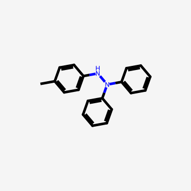 Cc1ccc(NN(c2ccccc2)c2ccccc2)cc1